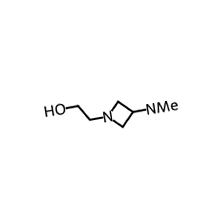 CNC1CN(CCO)C1